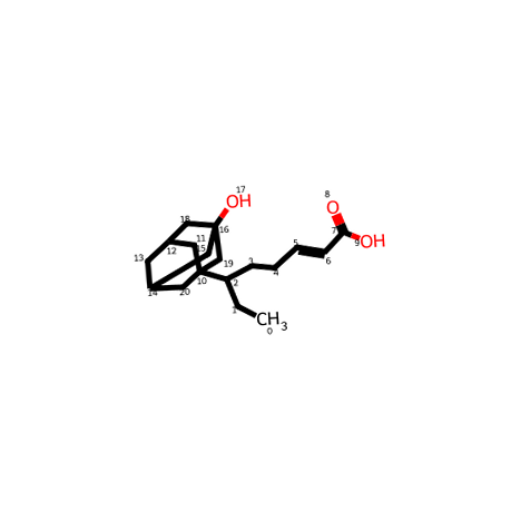 CCC(CCC=CC(=O)O)C12CC3CC(CC(O)(C3)C1)C2